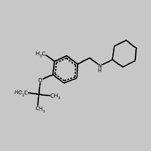 Cc1cc(CNC2CCCCC2)ccc1OC(C)(C)C(=O)O